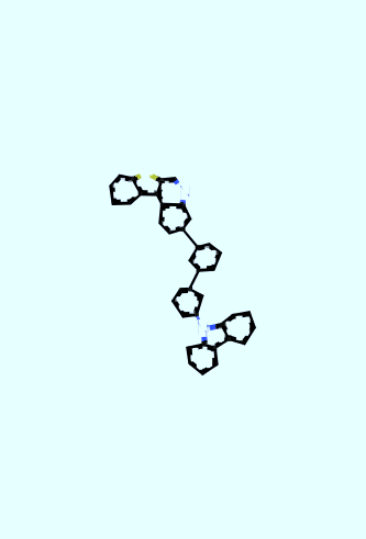 c1cc(-c2cccc(-n3c4ccccc4c4ccccc43)c2)cc(-c2ccc3c(c2)ncc2sc4ccccc4c23)c1